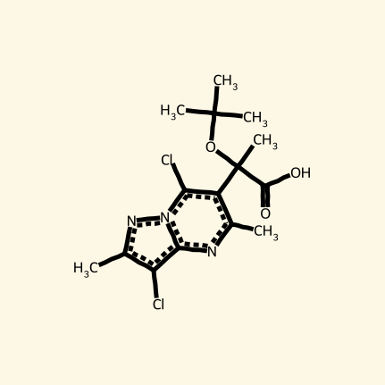 Cc1nc2c(Cl)c(C)nn2c(Cl)c1C(C)(OC(C)(C)C)C(=O)O